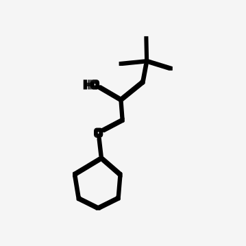 CC(C)(C)CC(O)COC1CCCCC1